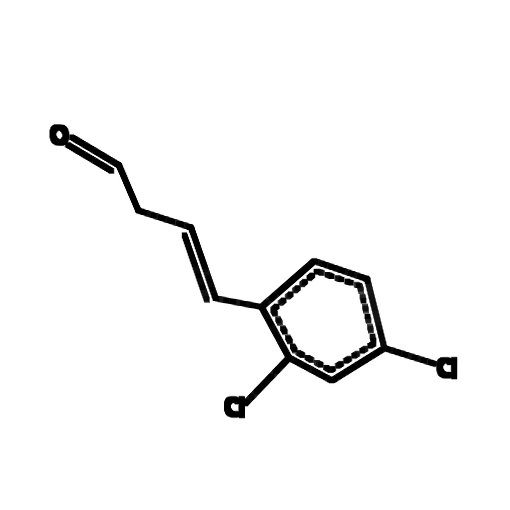 O=CCC=Cc1ccc(Cl)cc1Cl